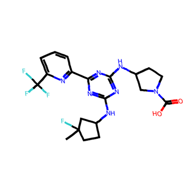 CC1(F)CCC(Nc2nc(NC3CCN(C(=O)O)C3)nc(-c3cccc(C(F)(F)F)n3)n2)C1